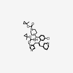 C[C@H](c1ccc(Cl)cc1/C(=C\c1cccnc1)[C@@H](NC(=O)OC1(C)CC1)c1cncn1C)N1CCN(C(=O)OC2(C)CC2)CC1